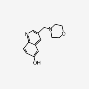 Oc1ccc2ncc(CN3CCOCC3)cc2c1